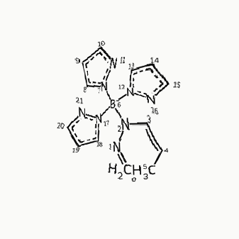 C=NN(/C=C\C)[B-](n1cccn1)(n1cccn1)n1cccn1